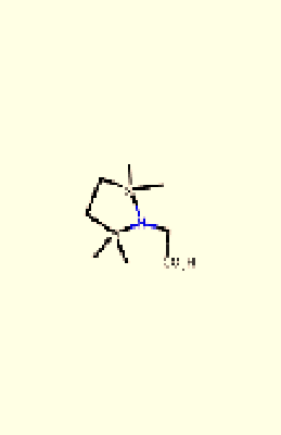 C[Si]1(C)CC[Si](C)(C)N1CC(=O)O